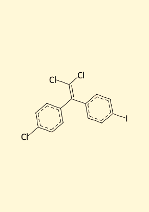 ClC(Cl)=C(c1ccc(Cl)cc1)c1ccc(I)cc1